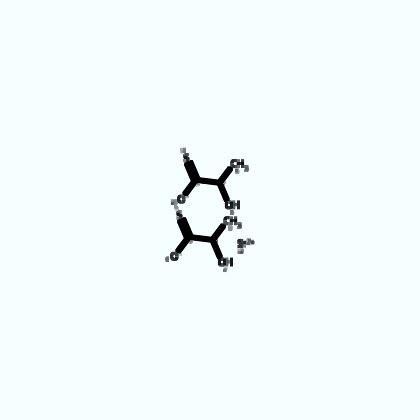 CC(O)C([O-])=S.CC(O)C([O-])=S.[Sr+2]